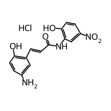 Cl.Nc1ccc(O)c(C=CC(=O)Nc2cc([N+](=O)[O-])ccc2O)c1